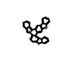 C1=CC2Sc3ccc4c(c3C2C=C1)c1cc2oc3ccccc3c2cc1c1c2ccccc2cn41